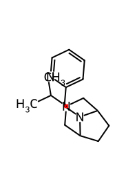 CC(C)N1CC2CCC(C1)N2Cc1ccccn1